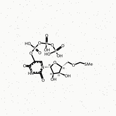 CSCOC[C@H]1O[C@@H](n2cc(OP(=O)(O)OP(=O)(O)OP(=O)(O)O)c(=O)[nH]c2=O)[C@H](O)[C@@H]1O